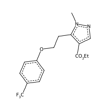 CCOC(=O)c1cnn(C)c1CCOc1ccc(C(F)(F)F)cc1